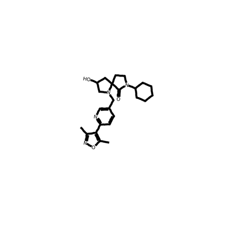 Cc1noc(C)c1-c1ccc(CN2CC(O)CC23CCN(C2CCCCC2)C3=O)cn1